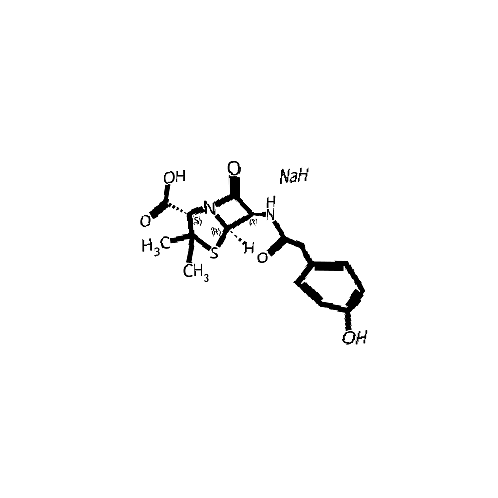 CC1(C)S[C@@H]2[C@H](NC(=O)Cc3ccc(O)cc3)C(=O)N2[C@H]1C(=O)O.[NaH]